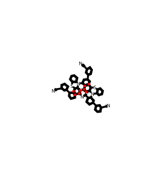 N#Cc1cccc(-c2cccc(-c3nc(-c4ccc(-c5cccc(C#N)c5)cc4N4c5ccccc5Sc5ccccc54)nc(-c4ccc(-c5cccc(C#N)c5)cc4N4c5ccccc5Sc5ccccc54)n3)c2)c1